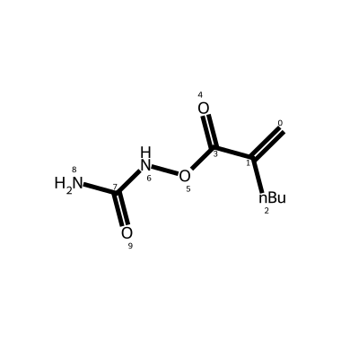 C=C(CCCC)C(=O)ONC(N)=O